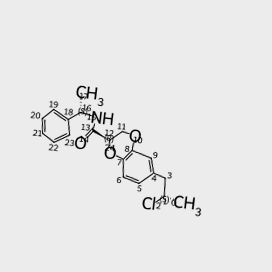 C[C@H](Cl)Cc1ccc2c(c1)OC[C@H](C(=O)N[C@@H](C)c1ccccc1)O2